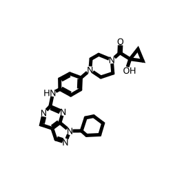 O=C(N1CCN(c2ccc(Nc3ncc4cnn(C5CCCCC5)c4n3)cc2)CC1)C1(O)CC1